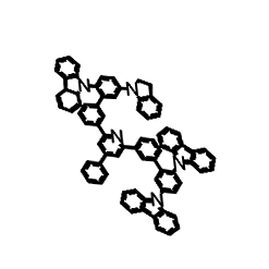 C1=CC2c3ccccc3N(c3ccc(N4CCc5ccccc54)cc3-c3cccc(-c4cc(-c5ccccc5)cc(-c5cccc(-c6cc(-n7c8ccccc8c8ccccc87)ccc6-n6c7ccccc7c7ccccc76)c5)n4)c3)C2C=C1